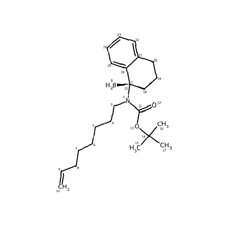 B[C@]1(N(CCCCCCC=C)C(=O)OC(C)(C)C)CCCc2ccccc21